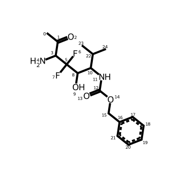 CC(=O)C(N)C(F)(F)C(O)C(NC(=O)OCc1ccccc1)C(C)C